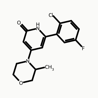 CC1COCCN1c1cc(-c2cc(F)ccc2Cl)[nH]c(=O)c1